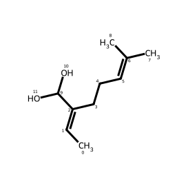 C/C=C(\CCC=C(C)C)C(O)O